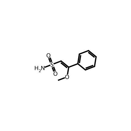 COC(=CS(N)(=O)=O)c1ccccc1